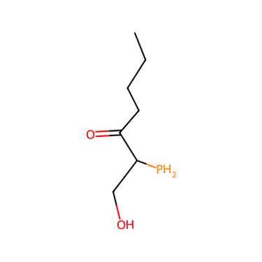 CCCCC(=O)C(P)CO